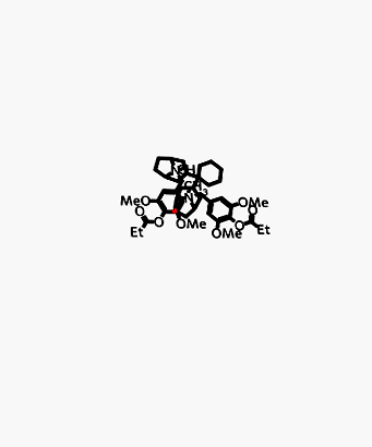 CCC(=O)Oc1c(OC)cc(C[N+]2(C)C3CCC2CC(C2(C4CC5CCC(C4)[N+]5(C)Cc4cc(OC)c(OC(=O)CC)c(OC)c4)CCCCC2)C3)cc1OC